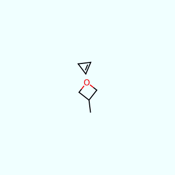 C1=CC1.CC1COC1